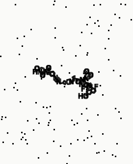 CCc1c(F)ccc2cc(O)cc(-c3ncc4c(N5CCOCC6(CCO6)C5)nc(OCC5(CN6CCC7(CC6)CC(CN6CCN(c8ccc9c(c8)CN([C@H]8CCC(=O)NC8=O)C9=O)CC6)C7)CC5)nc4c3F)c12